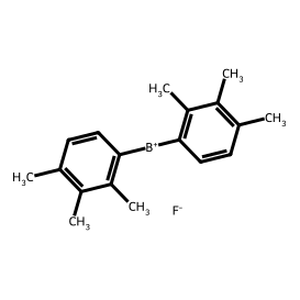 Cc1ccc([B+]c2ccc(C)c(C)c2C)c(C)c1C.[F-]